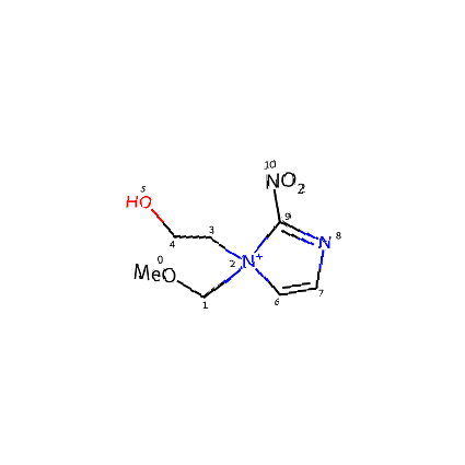 COC[N+]1(CCO)C=CN=C1[N+](=O)[O-]